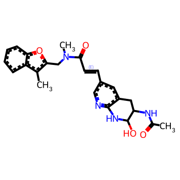 CC(=O)NC1Cc2cc(/C=C/C(=O)N(C)Cc3oc4ccccc4c3C)cnc2NC1O